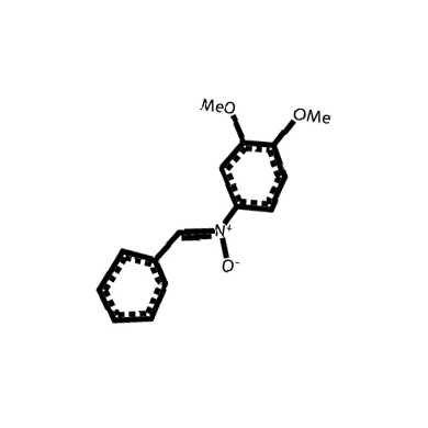 COc1ccc([N+]([O-])=Cc2ccccc2)cc1OC